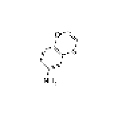 Nc1ccc2c(c1)SC=CO2